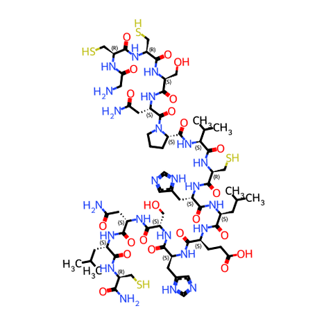 CC(C)C[C@H](NC(=O)[C@H](CC(N)=O)NC(=O)[C@H](CO)NC(=O)[C@H](Cc1cnc[nH]1)NC(=O)[C@H](CCC(=O)O)NC(=O)[C@H](CC(C)C)NC(=O)[C@H](Cc1cnc[nH]1)NC(=O)[C@H](CS)NC(=O)[C@@H](NC(=O)[C@@H]1CCCN1C(=O)[C@H](CC(N)=O)NC(=O)[C@H](CO)NC(=O)[C@H](CS)NC(=O)[C@H](CS)NC(=O)CN)C(C)C)C(=O)N[C@@H](CS)C(N)=O